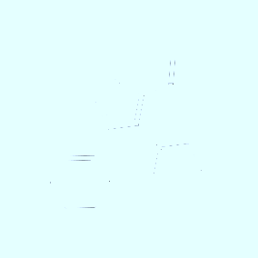 O=C(O)c1[nH]cc(-c2ccccc2)c1N1CCCC1